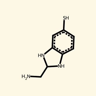 NCC1Nc2ccc(S)cc2N1